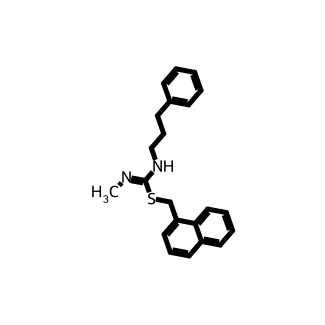 C/N=C(/NCCCc1ccccc1)SCc1cccc2ccccc12